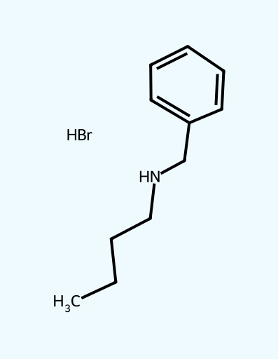 Br.CCCCNCc1ccccc1